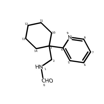 O=CNCC1(c2ccccn2)CCCCC1